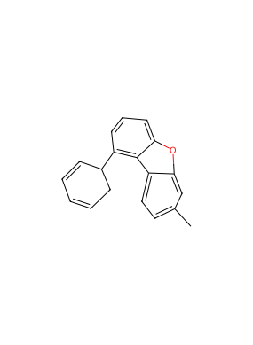 Cc1ccc2c(c1)oc1cccc(C3C=CC=CC3)c12